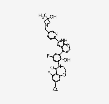 CC1(O)CN(Cc2ccc(-c3cc4c(-c5cc(F)cc(N6CCOc7cc(C8CC8)cc(F)c7C6=O)c5O)ccnc4[nH]3)nc2)C1